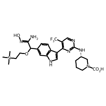 C[Si](C)(C)CCOC(/C(N)=N/O)c1ccc2c(-c3nc(N[C@H]4CCCN(C(=O)O)C4)ncc3C(F)(F)F)c[nH]c2c1